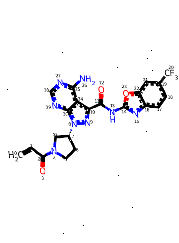 C=CC(=O)N1CC[C@@H](n2nc(C(=O)Nc3nc4ccc(C(F)(F)F)cc4o3)c3c(N)ncnc32)C1